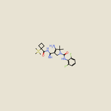 CC1(C)C(N)=C(C(=N)NC(=O)C2(S(C)(C)C)CCC2)CN1C(=O)Nc1c(F)cccc1F